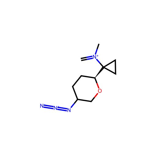 C=[N+](C)C1([C@@H]2CCC(N=[N+]=[N-])CO2)CC1